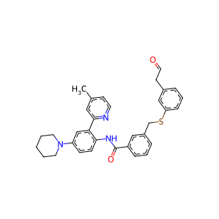 Cc1ccnc(-c2cc(N3CCCCC3)ccc2NC(=O)c2cccc(CSc3cccc(CC=O)c3)c2)c1